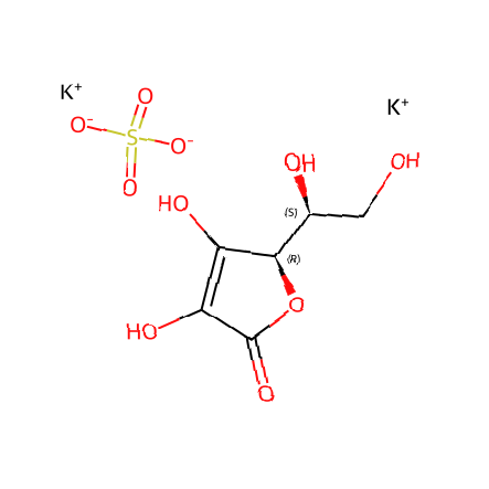 O=C1O[C@H]([C@@H](O)CO)C(O)=C1O.O=S(=O)([O-])[O-].[K+].[K+]